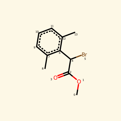 COC(=O)C(Br)c1c(C)cccc1C